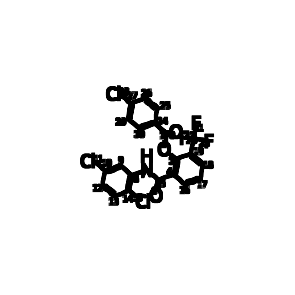 O=C(Oc1c(C(=O)Nc2cc(Cl)ccc2Cl)cccc1C(F)(F)F)c1ccc(Cl)cc1